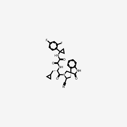 N#CC1C[C@@]2(CN1C(=O)[C@H](CC1CC1)NC(=O)C(=O)NC1(c3ccc(F)cc3F)CC1)C(=O)Nc1ccccc12